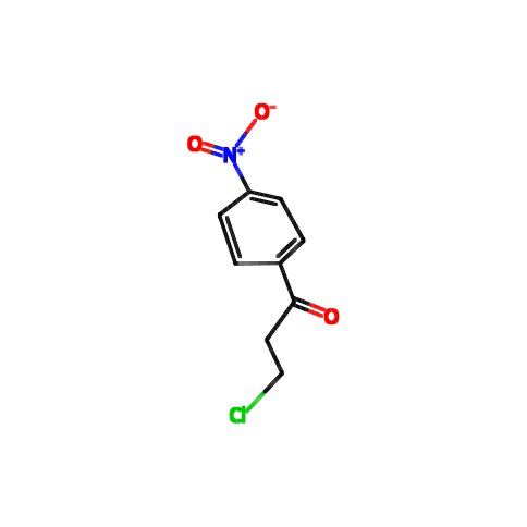 O=C(CCCl)c1ccc([N+](=O)[O-])cc1